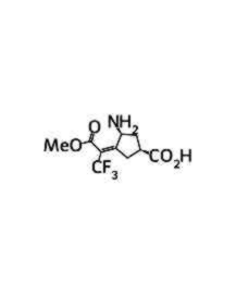 COC(=O)/C(=C1/C[C@H](C(=O)O)C[C@@H]1N)C(F)(F)F